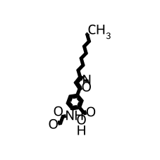 CCCCCCCCc1cc(-c2ccc(NC(=O)C=O)c(C(=O)O)c2)on1